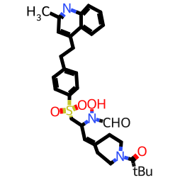 Cc1cc(CCc2ccc(S(=O)(=O)CC(C=C3CCN(C(=O)C(C)(C)C)CC3)N(O)C=O)cc2)c2ccccc2n1